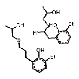 CCc1cccc(CC(SCC(C)O)C(C)C)c1O.CCc1cccc(CCCSCC(C)O)c1O